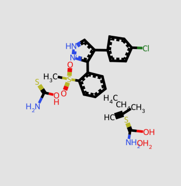 C.C.C#CC.CS(=O)(=O)c1ccccc1-c1n[nH]cc1-c1ccc(Cl)cc1.NC(O)=S.NC(O)=S.O